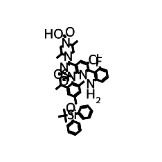 Cc1cc(CO[Si](c2ccccc2)(c2ccccc2)C(C)(C)C)cc(C(C)C)c1N1c2nc(-c3c(N)cccc3F)c(Cl)cc2C(N2CC(C)N(C(=O)O)CC2C)=NS1(=O)=O